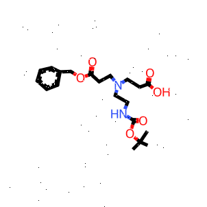 CC(C)(C)OC(=O)NCCN(CCC(=O)O)CCC(=O)OCc1ccccc1